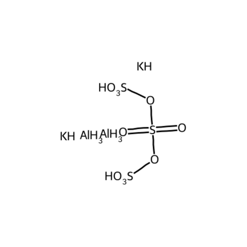 O=S(=O)(O)OS(=O)(=O)OS(=O)(=O)O.[AlH3].[AlH3].[KH].[KH]